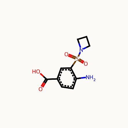 Nc1ccc(C(=O)O)cc1S(=O)(=O)N1CCC1